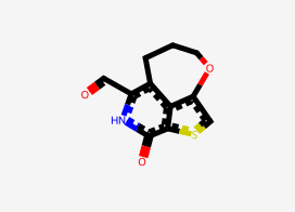 O=Cc1[nH]c(=O)c2scc3c2c1CCCO3